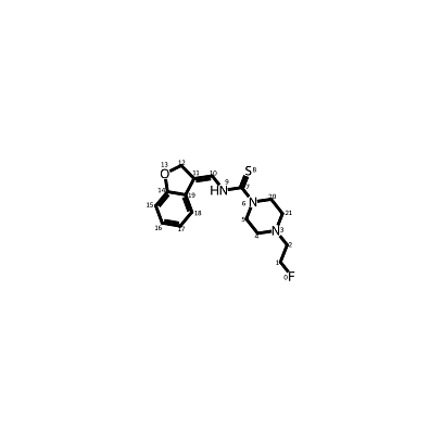 FCCN1CCN(C(=S)N/C=C2/COc3ccccc32)CC1